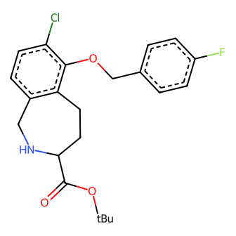 CC(C)(C)OC(=O)C1CCc2c(ccc(Cl)c2OCc2ccc(F)cc2)CN1